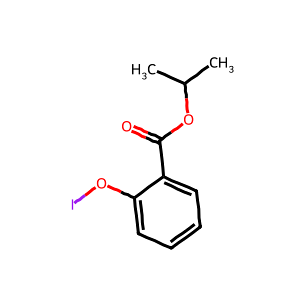 CC(C)OC(=O)c1ccccc1OI